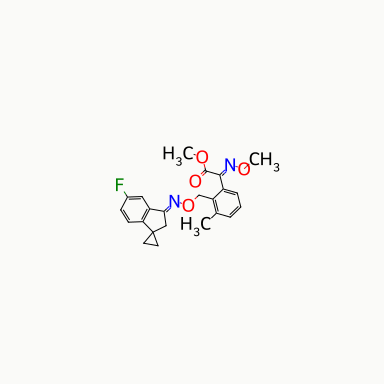 CO/N=C(/C(=O)OC)c1cccc(C)c1CO/N=C1\CC2(CC2)c2ccc(F)cc21